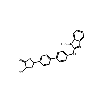 CCCC1CC(c2ccc(-c3ccc(Nc4nc5ccccc5n4C)cc3)cc2)OC1=O